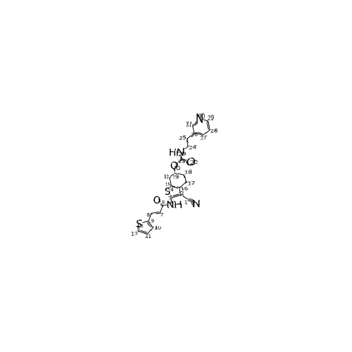 N#Cc1c(NC(=O)C=Cc2cccs2)sc2c1CCC(OC(=O)NCCc1cccnc1)C2